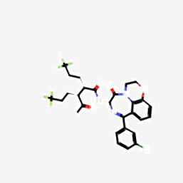 CC(=O)[C@@H](CCC(F)(F)F)[C@@H](CCC(F)(F)F)C(=O)N[C@H]1N=C(c2cccc(Cl)c2)c2cccc3c2N(CCO3)C1=O